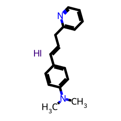 CN(C)c1ccc(C=CCc2ccccn2)cc1.I